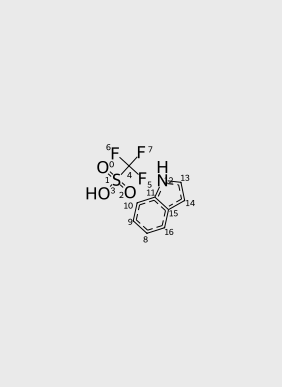 O=S(=O)(O)C(F)(F)F.c1ccc2[nH]ccc2c1